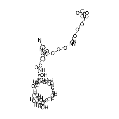 C=C1C[C@@H]2CC[C@]34C[C@@H](O)[C@H](O3)[C@H]3C[C@@H](O4)[C@H]4O[C@H](CC[C@@H]4O3)CC(=O)C[C@@H]3[C@@H](OC)[C@@H](C[C@H](O)CNC(=O)OCc4ccc(N(CCOCCOCCOCCn5cc(COCCOCCOCCC(=O)ON6C(=O)CCC6=O)nn5)S(=O)(=O)c5ccc(C#N)cn5)cc4)O[C@H]3C[C@H]3O[C@@H](CC[C@@H]1O2)C[C@@H](C)C3=C